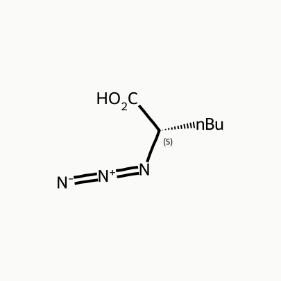 CCCC[C@H](N=[N+]=[N-])C(=O)O